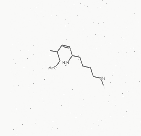 COCC(C)/C=C\C(N)CCCCNI